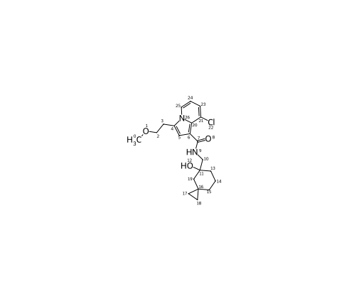 COCCc1cc(C(=O)NCC2(O)CCCC3(CC3)C2)c2c(Cl)cccn12